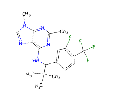 Cc1nc(NC(c2ccc(C(F)(F)F)c(F)c2)C(C)(C)C)c2ncn(C)c2n1